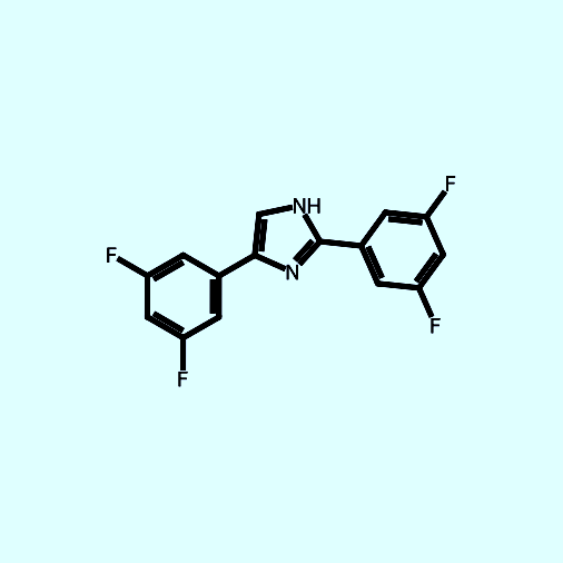 Fc1cc(F)cc(-c2c[nH]c(-c3cc(F)cc(F)c3)n2)c1